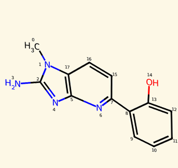 Cn1c(N)nc2nc(-c3ccccc3O)ccc21